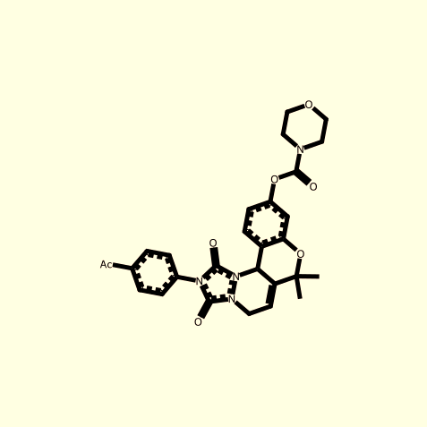 CC(=O)c1ccc(-n2c(=O)n3n(c2=O)C2C(=CC3)C(C)(C)Oc3cc(OC(=O)N4CCOCC4)ccc32)cc1